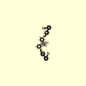 C[C@H]1[C@H](/C=C/c2ccc(-c3ccccc3C#N)cn2)[C@H](C)[C@H](NS(=O)(=O)C[C@@H]2CC[C@H](C)[C@@H](C)[C@@H]2/C=C/c2ccc(-c3ccccc3C#N)cn2)C[C@@H]1C